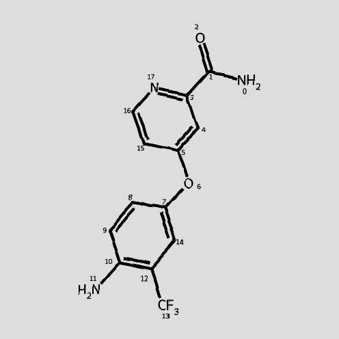 NC(=O)c1cc(Oc2ccc(N)c(C(F)(F)F)c2)ccn1